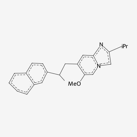 COc1cn2cc(C(C)C)nc2cc1CC(C)c1ccc2ccccc2c1